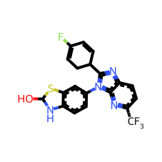 OC1Nc2ccc(-n3c(C4C=CC(F)=CC4)nc4ccc(C(F)(F)F)nc43)cc2S1